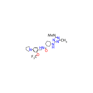 CNc1nc(C)nc(N[C@H]2CCC[C@@H](C(=O)NCc3ccc(N4CCCC4)cc3OC(F)(F)F)C2)n1